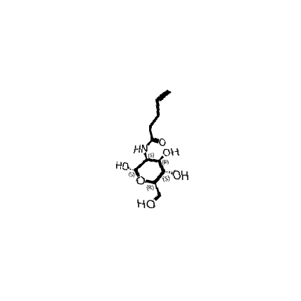 C=CCCC(=O)N[C@H]1[C@@H](O)[C@H](O)[C@@H](CO)O[C@@H]1O